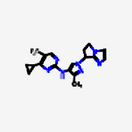 Cc1nn(C2CCn3ccnc32)cc1Nc1ncc(C(F)(F)F)c(C2CC2)n1